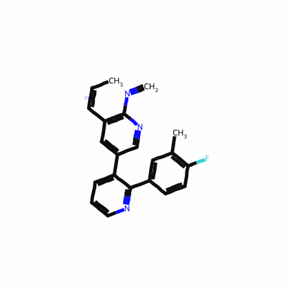 C=Nc1ncc(-c2cccnc2-c2ccc(F)c(C)c2)cc1/C=C\C